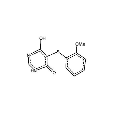 COc1ccccc1Sc1c(O)nc[nH]c1=O